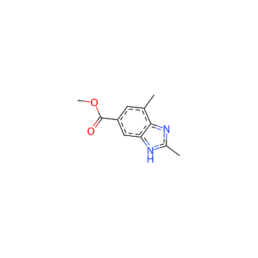 COC(=O)c1cc(C)c2nc(C)[nH]c2c1